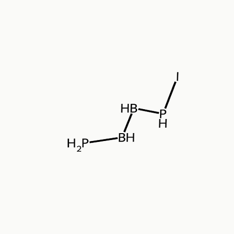 PBBPI